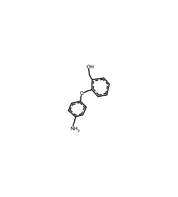 Nc1ccc(Oc2ccccc2CO)cc1